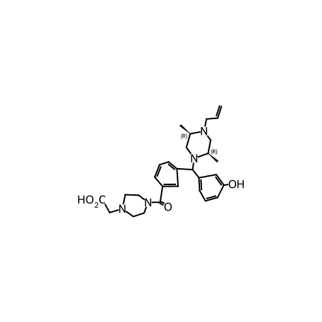 C=CCN1C[C@@H](C)N(C(c2cccc(O)c2)c2cccc(C(=O)N3CCN(CC(=O)O)CC3)c2)C[C@H]1C